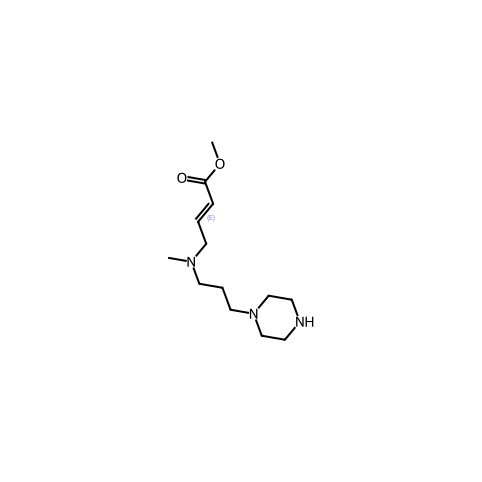 COC(=O)/C=C/CN(C)CCCN1CCNCC1